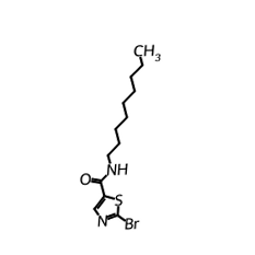 CCCCCCCCCNC(=O)c1cnc(Br)s1